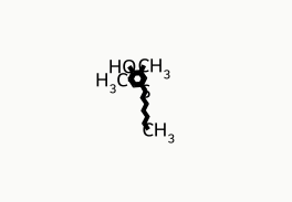 CCCCCCSc1cc(C)c(O)c(C)c1